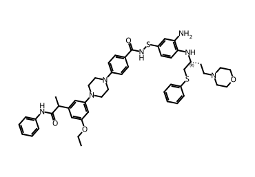 CCOc1cc(C(C)C(=O)Nc2ccccc2)cc(N2CCN(c3ccc(C(=O)NSc4ccc(N[C@H](CCN5CCOCC5)CSc5ccccc5)c(N)c4)cc3)CC2)c1